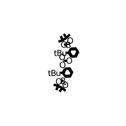 CC(C)(C)c1c(OC(=O)Oc2cccc(B3OC(C)(C)C(C)(C)O3)c2C(C)(C)C)cccc1B1OC(C)(C)C(C)(C)O1